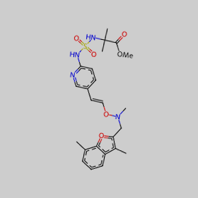 COC(=O)C(C)(C)NS(=O)(=O)Nc1ccc(/C=C/ON(C)Cc2oc3c(C)cccc3c2C)cn1